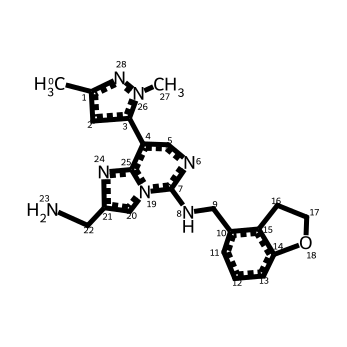 Cc1cc(-c2cnc(NCc3cccc4c3CCO4)n3cc(CN)nc23)n(C)n1